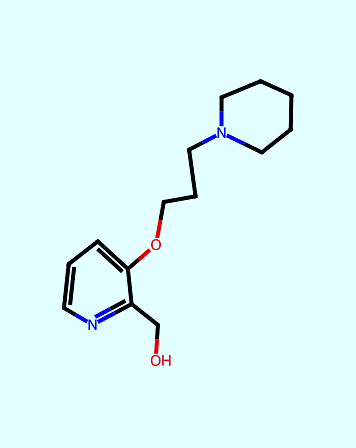 OCc1ncccc1OCCCN1CCCCC1